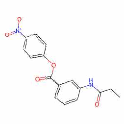 CCC(=O)Nc1cccc(C(=O)Oc2ccc([N+](=O)[O-])cc2)c1